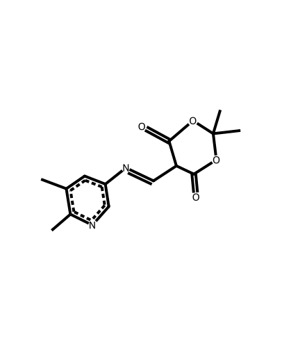 Cc1cc(/N=C/C2C(=O)OC(C)(C)OC2=O)cnc1C